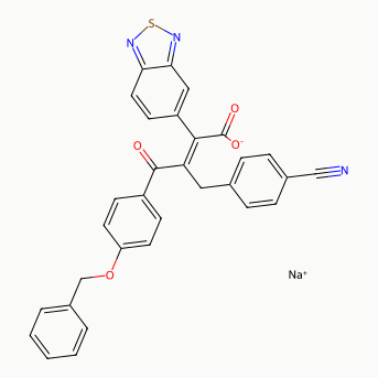 N#Cc1ccc(C/C(C(=O)c2ccc(OCc3ccccc3)cc2)=C(\C(=O)[O-])c2ccc3nsnc3c2)cc1.[Na+]